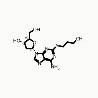 CCCCSc1nc(N)c2ncn([C@@H]3C[C@H](O)[C@@H](CO)O3)c2n1